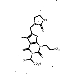 CCC(C(=O)O)n1c(=O)c2c(C)c(CN3CCNC3=O)sc2n(CCC(F)(F)F)c1=O